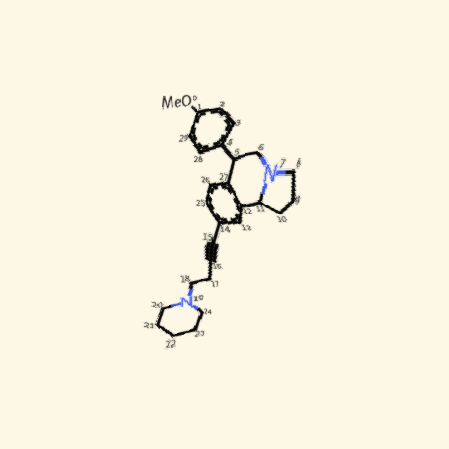 COc1ccc(C2CN3CCCC3c3cc(C#CCCN4CCCCC4)ccc32)cc1